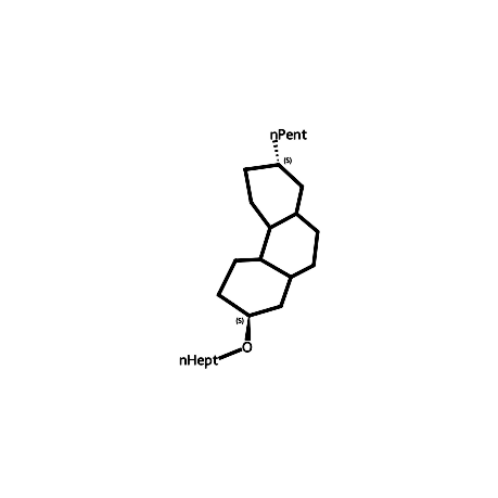 CCCCCCCO[C@H]1CCC2C(CCC3C[C@@H](CCCCC)CCC32)C1